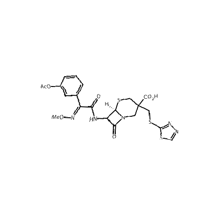 CON=C(C(=O)NC1C(=O)N2CC(CSc3nncs3)(C(=O)O)CS[C@H]12)c1cccc(OC(C)=O)c1